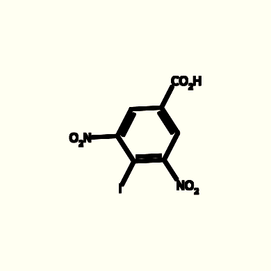 O=C(O)c1cc([N+](=O)[O-])c(I)c([N+](=O)[O-])c1